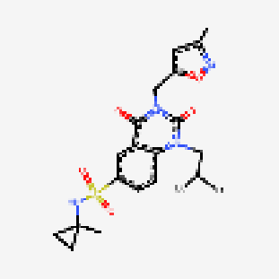 CCC(CC)Cn1c(=O)n(Cc2cc(C)no2)c(=O)c2cc(S(=O)(=O)NC3(C)CC3)ccc21